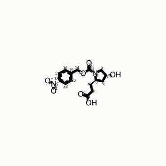 O=C(O)CC[C@@H]1C[C@@H](O)CN1C(=O)OCc1ccc([N+](=O)[O-])cc1